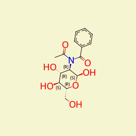 CC(=O)N(C(=O)c1ccccc1)[C@@H]1[C@@H](O)[C@H](O)[C@@H](CO)O[C@@H]1O